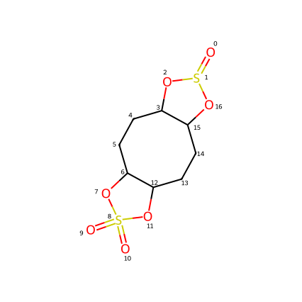 O=S1OC2CCC3OS(=O)(=O)OC3CCC2O1